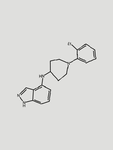 CCc1ccccc1N1CCC(Nc2cccc3[nH]ncc23)CC1